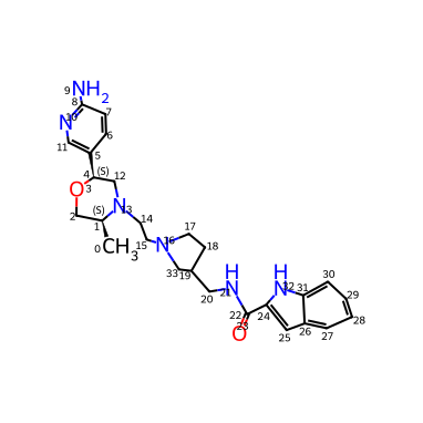 C[C@H]1CO[C@@H](c2ccc(N)nc2)CN1CCN1CCC(CNC(=O)c2cc3ccccc3[nH]2)C1